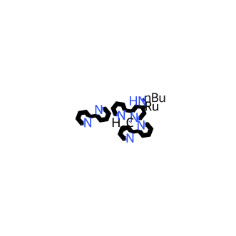 CCCCN[C]1([Ru])C=CN(C)C(c2ccccn2)=C1.c1ccc(-c2ccccn2)nc1.c1ccc(-c2ccccn2)nc1